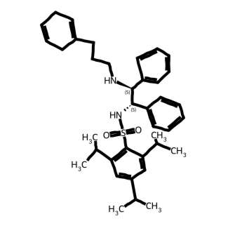 CC(C)c1cc(C(C)C)c(S(=O)(=O)N[C@@H](c2ccccc2)[C@@H](NCCCC2=CCC=CC2)c2ccccc2)c(C(C)C)c1